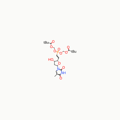 Cc1cn([C@H]2CC(O)[C@@H](/C=C/P(=O)(OCOC(=O)C(C)(C)C)OCOC(=O)C(C)(C)C)O2)c(=O)[nH]c1=O